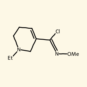 CCN1CCC=C(C(Cl)=NOC)C1